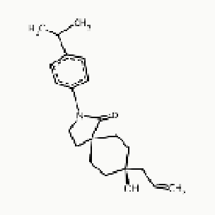 C=CC[C@]1(O)CC[C@]2(CCN(c3ccc(C(C)C)cc3)C2=O)CC1